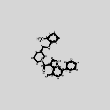 Cc1ccccc1OCC1CCCN(C(=O)c2cnn3c(-c4ccccc4)ccc(F)c23)C1